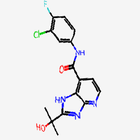 CC(C)(O)c1nc2nccc(C(=O)Nc3ccc(F)c(Cl)c3)c2[nH]1